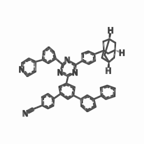 N#Cc1ccc(-c2cc(-c3cccc(-c4ccccc4)c3)cc(-c3nc(-c4ccc(C56C[C@H]7C[C@@H](C5)C[C@@H](C6)C7)cc4)nc(-c4cccc(-c5ccncc5)c4)n3)c2)cc1